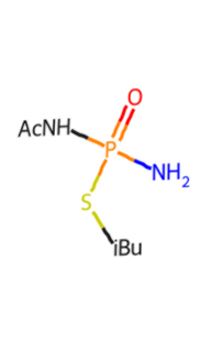 CCC(C)SP(N)(=O)NC(C)=O